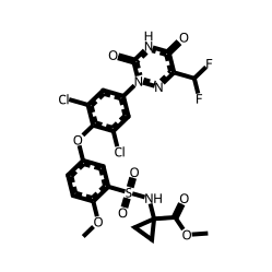 COC(=O)C1(NS(=O)(=O)c2cc(Oc3c(Cl)cc(-n4nc(C(F)F)c(=O)[nH]c4=O)cc3Cl)ccc2OC)CC1